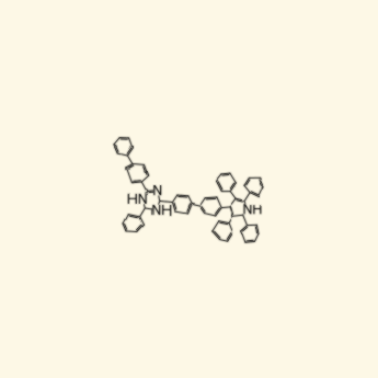 c1ccc(C2=C(c3ccccc3)C(c3ccc(-c4ccc(C5N=C(c6ccc(-c7ccccc7)cc6)NC(c6ccccc6)N5)cc4)cc3)=C(c3ccccc3)C(c3ccccc3)N2)cc1